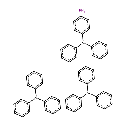 P.c1ccc([Si](c2ccccc2)c2ccccc2)cc1.c1ccc([Si](c2ccccc2)c2ccccc2)cc1.c1ccc([Si](c2ccccc2)c2ccccc2)cc1